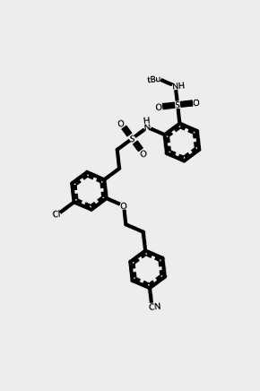 CC(C)(C)NS(=O)(=O)c1ccccc1NS(=O)(=O)CCc1ccc(Cl)cc1OCCc1ccc(C#N)cc1